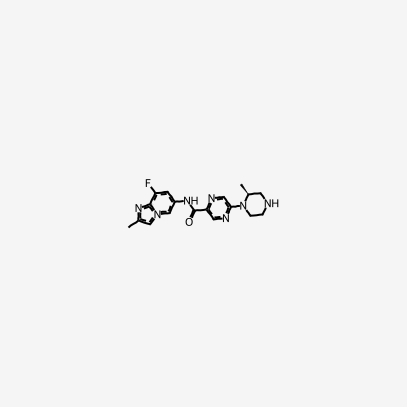 Cc1cn2cc(NC(=O)c3cnc(N4CCNC[C@@H]4C)cn3)cc(F)c2n1